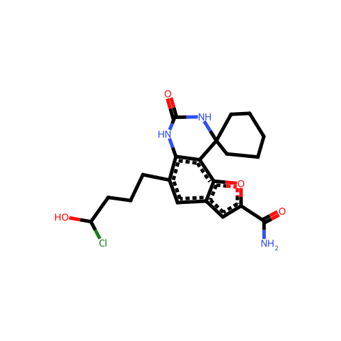 NC(=O)c1cc2cc(CCCC(O)Cl)c3c(c2o1)C1(CCCCC1)NC(=O)N3